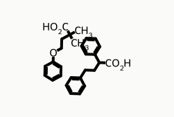 CC(C)(CCOc1ccccc1)C(=O)O.O=C(O)C(CCc1ccccc1)c1ccccc1